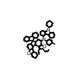 C=Cc1c(/C=C\C)oc2c(N(c3ccc(C)cc3)c3cccc4c3c3ccccc3n4-c3ccccc3)cc3c(c12)-c1c(ccc2oc4ccccc4c12)C31c2ccccc2-c2ccccc21